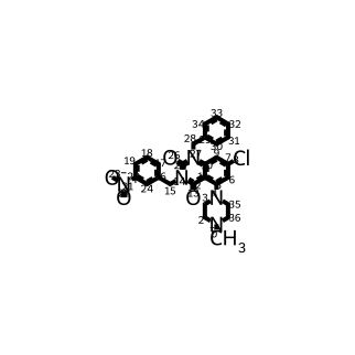 CN1CCN(c2cc(Cl)cc3c2c(=O)n(Cc2cccc([N+](=O)[O-])c2)c(=O)n3Cc2ccccc2)CC1